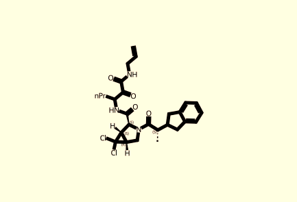 C=CCNC(=O)C(=O)C(CCC)NC(=O)[C@@H]1[C@@H]2[C@H](CN1C(=O)[C@@H](C)C1Cc3ccccc3C1)C2(Cl)Cl